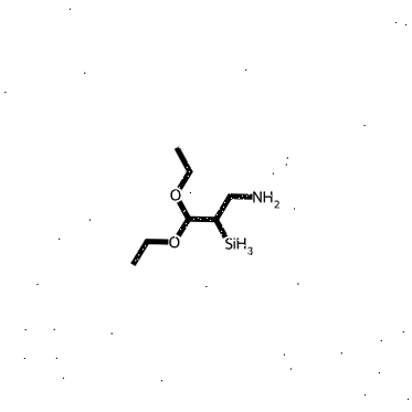 CCOC(OCC)C([SiH3])CN